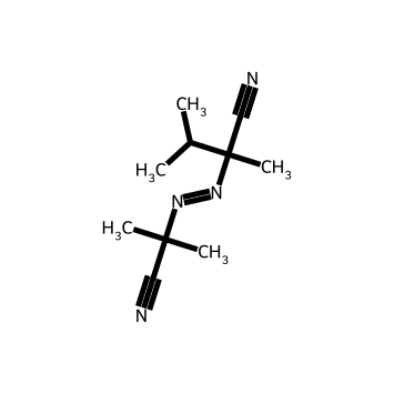 CC(C)C(C)(C#N)/N=N/C(C)(C)C#N